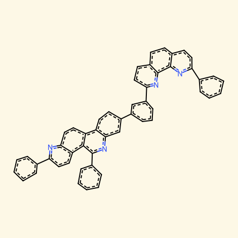 c1ccc(-c2ccc3c(ccc4c5ccc(-c6cccc(-c7ccc8ccc9ccc(-c%10ccccc%10)nc9c8n7)c6)cc5nc(-c5ccccc5)c34)n2)cc1